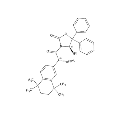 CCCCC[C@@H](C(=O)N1C(=O)OC(c2ccccc2)(c2ccccc2)[C@H]1C(C)C)c1ccc2c(c1)C(C)(C)CCC2(C)C